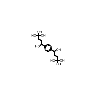 OC(CCC(O)(O)O)c1cnc(C(O)CCC(O)(O)O)cn1